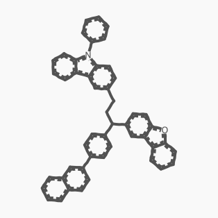 c1ccc(-n2c3ccccc3c3cc(CCC(c4ccc(-c5ccc6ccccc6c5)cc4)c4ccc5oc6ccccc6c5c4)ccc32)cc1